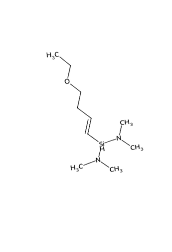 CCOCCC=C[SiH](N(C)C)N(C)C